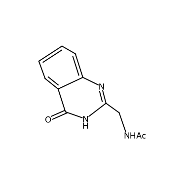 CC(=O)NCc1nc2ccccc2c(=O)[nH]1